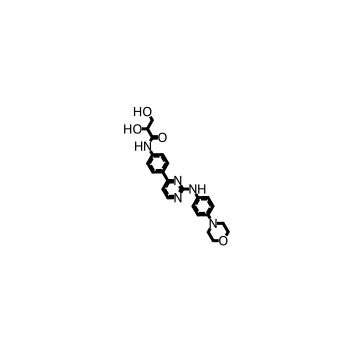 O=C(Nc1ccc(-c2ccnc(Nc3ccc(N4CCOCC4)cc3)n2)cc1)C(O)CO